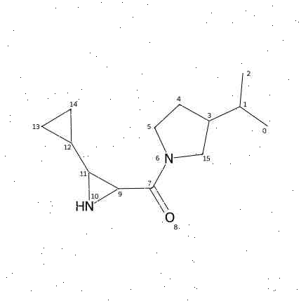 CC(C)C1CCN(C(=O)C2NC2C2CC2)C1